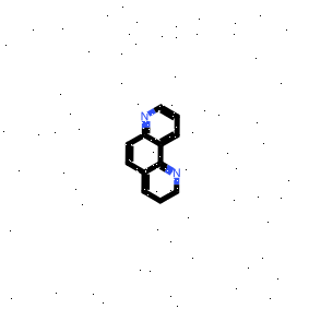 C1=c2ccc3ncccc3c2=NCC1